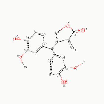 C=C1C(=O)OCC1C(c1ccc(O)c(OC)c1)c1ccc(O)c(OC)c1